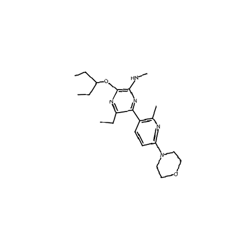 CCc1nc(OC(CC)CC)c(NC)nc1-c1ccc(N2CCOCC2)nc1C